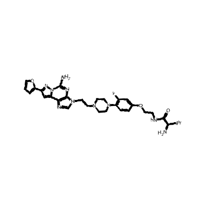 CC(C)C(N)C(=O)NCCOc1ccc(N2CCN(CCn3cnc4c3nc(N)n3nc(-c5ccco5)cc43)CC2)c(F)c1